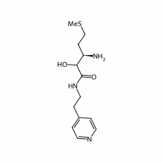 CSCC[C@@H](N)C(O)C(=O)NCCc1ccncc1